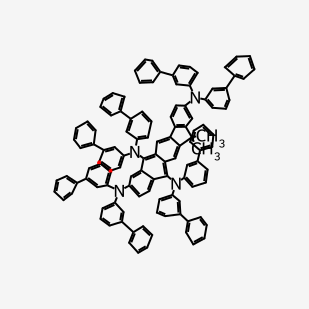 CC1(C)c2cc(N(c3cccc(-c4ccccc4)c3)c3cccc(-c4ccccc4)c3)ccc2-c2cc3c(N(c4cccc(-c5ccccc5)c4)c4cccc(-c5ccccc5)c4)c4cc(N(c5cccc(-c6ccccc6)c5)c5cccc(-c6ccccc6)c5)ccc4c(N(c4cccc(-c5ccccc5)c4)c4cccc(-c5ccccc5)c4)c3cc21